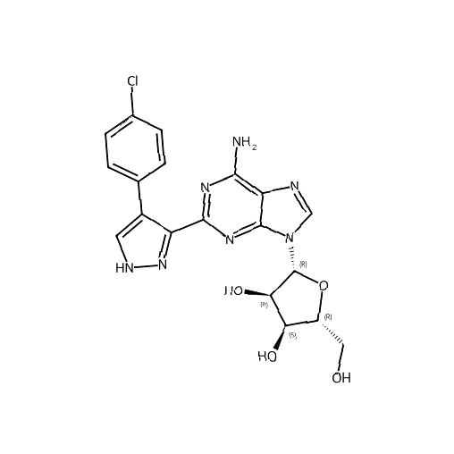 Nc1nc(-c2n[nH]cc2-c2ccc(Cl)cc2)nc2c1ncn2[C@@H]1O[C@H](CO)[C@@H](O)[C@H]1O